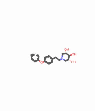 OC1[C@H](O)CN(CCc2ccc(Oc3ccccc3)cc2)C[C@@H]1O